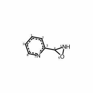 c1ccc(C2NO2)nc1